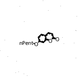 CCCCCOc1ccc2ccc(=O)oc2c1